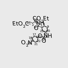 CCOC(=O)CCC(NC(=O)c1cccc(NC(=O)Oc2ccc([N+](=O)[O-])cc2)c1)C(=O)OCC